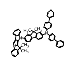 CC1(C)c2cc(N(c3ccc(C4=CCCC=C4)cc3)c3ccc(-c4ccccc4)cc3)ccc2-c2ccc(-n3c4ccccc4c4cn5c(c43)C(C)(C)c3ccccc3-5)cc21